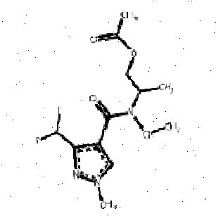 CON(C(=O)c1cn(C)nc1C(F)F)C(C)COC(C)=O